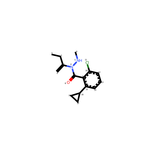 C=C(CC)N(NC)C(=O)c1c(Cl)cccc1C1CC1